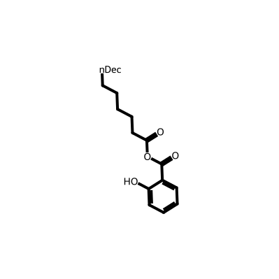 CCCCCCCCCCCCCCCC(=O)OC(=O)c1ccccc1O